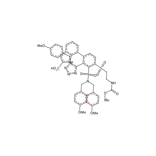 COc1ccc(CN(Cc2ccc(OC)cc2)S(=O)(=O)c2c(S(=O)(=O)CCNC(=O)OC(C)(C)C)ccc(-c3cccc4cc(C(=O)O)[nH]c34)c2-c2nnnn2Cc2ccc(OC)cc2)cc1